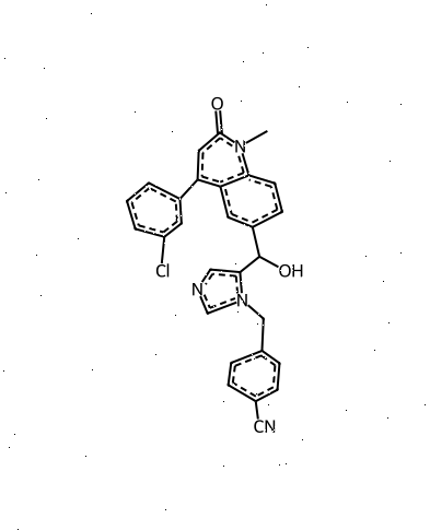 Cn1c(=O)cc(-c2cccc(Cl)c2)c2cc(C(O)c3cncn3Cc3ccc(C#N)cc3)ccc21